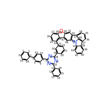 c1ccc(-c2ccc(-c3nc(-c4ccccc4)nc(-c4cccc(-c5cccc6oc7cc8c9cccc%10c%11ccccc%11n(c8cc7c56)c%109)c4)n3)cc2)cc1